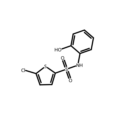 O=S(=O)(Nc1ccccc1O)c1ccc(Cl)s1